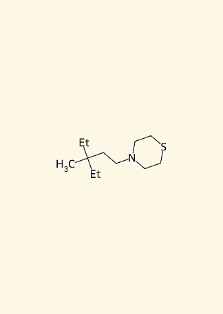 CCC(C)(CC)CCN1CCSCC1